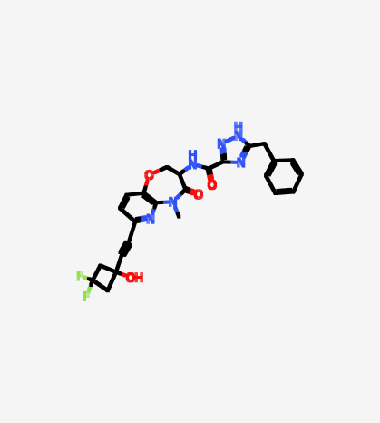 CN1C(=O)C(NC(=O)c2n[nH]c(Cc3ccccc3)n2)COc2ccc(C#CC3(O)CC(F)(F)C3)nc21